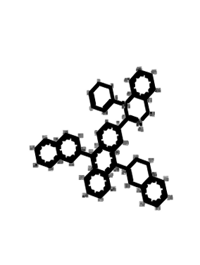 C1=CCCC(N2C(c3ccc4c(-c5ccc6ccccc6c5)c5ccccc5c(C5=Cc6ccccc6CC5)c4c3)=NCc3ccccc32)=C1